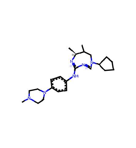 CC1CN(C2CCCC2)/C=N/C(Nc2ccc(N3CCN(C)CC3)cc2)=N\[C@H]1C